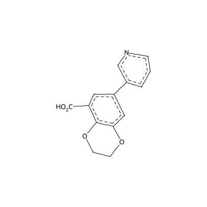 O=C(O)c1cc(-c2cccnc2)cc2c1OCCO2